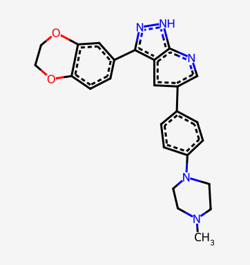 CN1CCN(c2ccc(-c3cnc4[nH]nc(-c5ccc6c(c5)OCCO6)c4c3)cc2)CC1